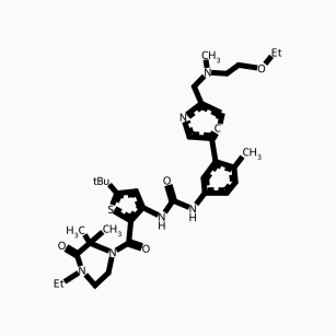 CCOCCN(C)Cc1ccc(-c2cc(NC(=O)Nc3cc(C(C)(C)C)sc3C(=O)N3CCN(CC)C(=O)C3(C)C)ccc2C)cn1